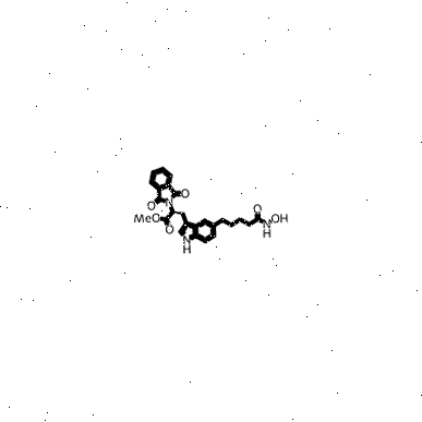 COC(=O)[C@H](Cc1c[nH]c2ccc(CCCCC(=O)NO)cc12)N1C(=O)c2ccccc2C1=O